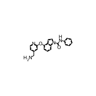 NCc1ccnc(Oc2cccc3c2ccn3C(=O)Nc2ccccc2)c1